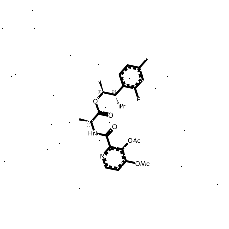 COc1ccnc(C(=O)N[C@@H](C)C(=O)O[C@@H](C)[C@H](c2ccc(C)cc2F)C(C)C)c1OC(C)=O